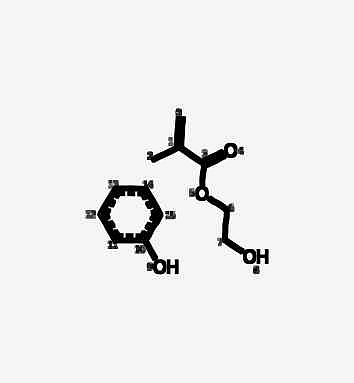 C=C(C)C(=O)OCCO.Oc1ccccc1